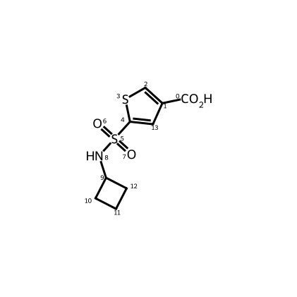 O=C(O)c1csc(S(=O)(=O)NC2CCC2)c1